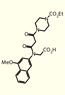 CCOC(=O)N1CCN(C(=O)CC(=O)N(CC(=O)O)c2cc(OC)c3ccccc3c2)CC1